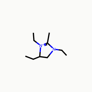 CCC1CN(CC)C(C)=[N+]1CC